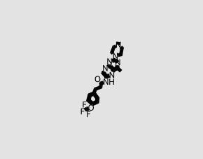 Cc1nc(N2CCN(C)CC2)nc2ncc(NC(=O)CCc3ccc(OC(F)(F)F)cc3)nc12